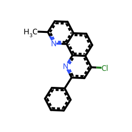 Cc1ccc2ccc3c(Cl)cc(-c4ccccc4)nc3c2n1